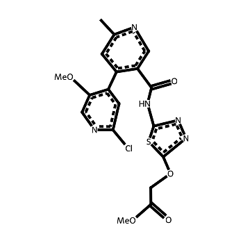 COC(=O)COc1nnc(NC(=O)c2cnc(C)cc2-c2cc(Cl)ncc2OC)s1